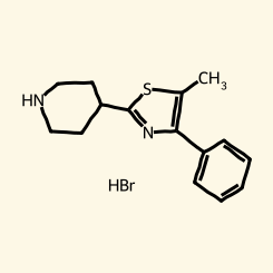 Br.Cc1sc(C2CCNCC2)nc1-c1ccccc1